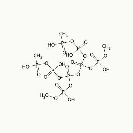 COP(=O)(O)OP(=O)(OP(=O)(O)OP(C)(=O)O)OP(=O)(OP(=O)(O)OC)OP(=O)(O)OP(C)(=O)O